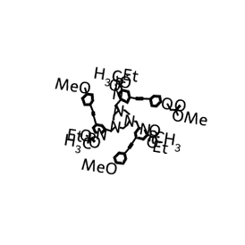 CCOP(C)(=O)c1cc(C#Cc2ccc(OC)cc2)cc(CN2CCN(Cc3cc(C#Cc4ccc(OC)cc4)cc(P(C)(=O)OCC)n3)CCN(Cc3cc(C#Cc4ccc(OCC(=O)OC)cc4)cc(P(C)(=O)OCC)n3)CC2)n1